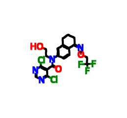 O=C(c1c(Cl)ncnc1Cl)N(CCO)c1ccc2c(c1)CCC/C2=N/OCC(F)(F)F